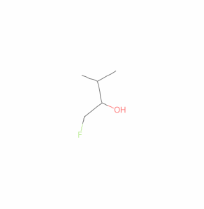 CC(C)C(O)CF